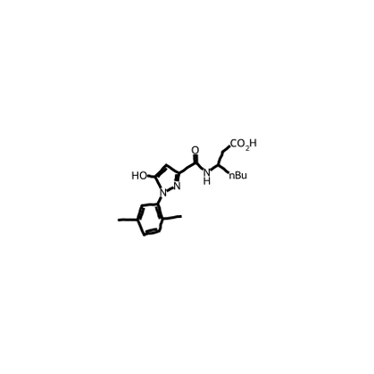 CCCCC(CC(=O)O)NC(=O)c1cc(O)n(-c2cc(C)ccc2C)n1